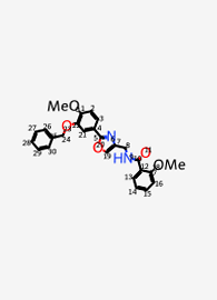 COc1ccc(-c2nc(CNC(=O)c3ccccc3OC)co2)cc1OCc1ccccc1